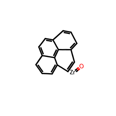 [O]=[Zr].c1cc2ccc3cccc4ccc(c1)c2c34